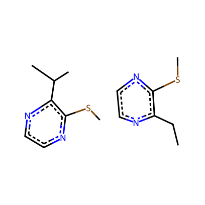 CCc1nccnc1SC.CSc1nccnc1C(C)C